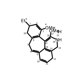 CCC1C=C(OC)C2=C(CC=C3C=CCC4=C3C2=C(OC)NC4)C1.I